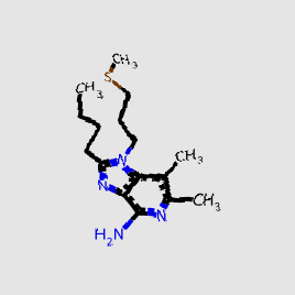 CCCCc1nc2c(N)nc(C)c(C)c2n1CCCSC